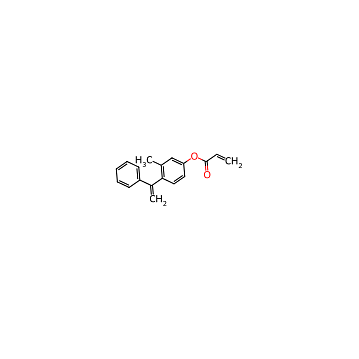 C=CC(=O)Oc1ccc(C(=C)c2ccccc2)c(C)c1